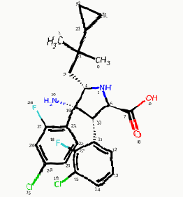 CC(C)(C[C@@H]1N[C@@H](C(=O)O)[C@H](c2cccc(Cl)c2F)[C@@]1(N)c1ccc(Cl)cc1F)C1CC1